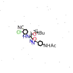 CC(=O)Nc1ccc(-c2nnc([C@H](Nc3ccc(C#N)c(Cl)c3C)[C@@H](C)O[Si](C)(C)C(C)(C)C)o2)cc1